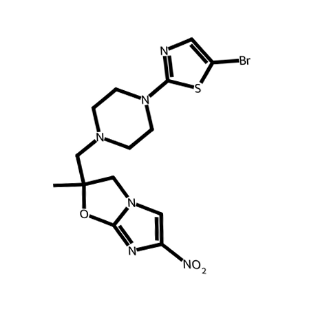 CC1(CN2CCN(c3ncc(Br)s3)CC2)Cn2cc([N+](=O)[O-])nc2O1